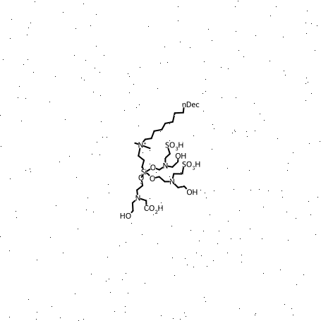 CCCCCCCCCCCCCCCCCC[N+](C)(C)CCC[Si](OCCN(CCO)CCS(=O)(=O)O)(OCCN(CCO)CC(=O)O)OCN(CCO)CCS(=O)(=O)O